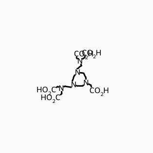 O=C(O)CN1CCN(CCN(CC(=O)O)CC(=O)O)CCN(CCN(CC(=O)O)CC(=O)O)CC1